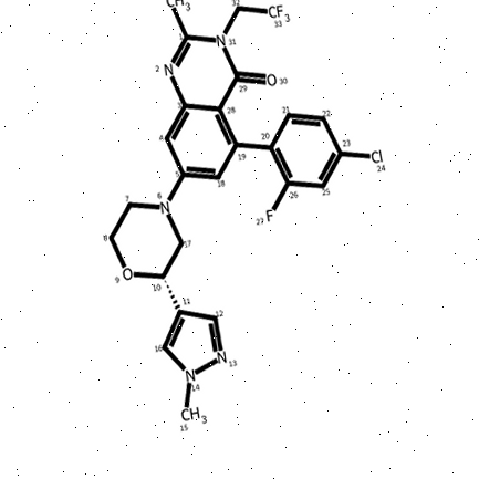 Cc1nc2cc(N3CCO[C@@H](c4cnn(C)c4)C3)cc(-c3ccc(Cl)cc3F)c2c(=O)n1CC(F)(F)F